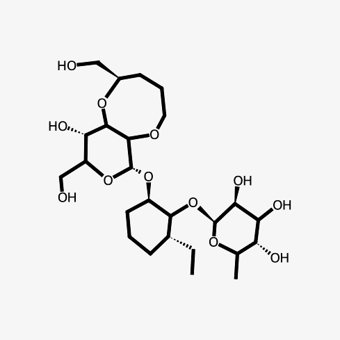 CC[C@@H]1CCC[C@@H](O[C@@H]2OC(CO)[C@H](O)C3O[C@@H](CO)CCCOC32)C1O[C@@H]1OC(C)[C@@H](O)C(O)[C@@H]1O